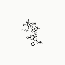 CCOP(=O)(OCC)[C@@](CO)(CCC(=O)O)OC[C@H]1O[C@@H](n2ncc3c(N(C(=O)OC(C)(C)C)C4CCCC4)nc(Cl)nc32)[C@@H]2OC(C)(C)O[C@@H]21